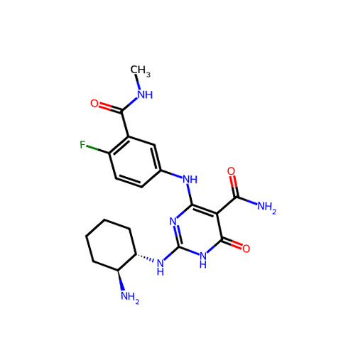 CNC(=O)c1cc(Nc2nc(N[C@H]3CCCC[C@@H]3N)[nH]c(=O)c2C(N)=O)ccc1F